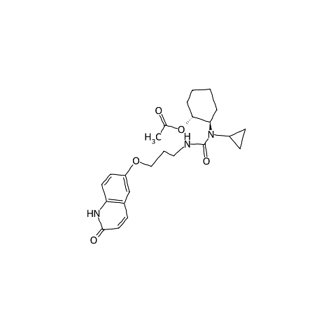 CC(=O)O[C@@H]1CCCC[C@H]1N(C(=O)NCCCOc1ccc2[nH]c(=O)ccc2c1)C1CC1